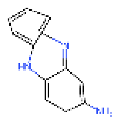 NC1=CC2=Nc3ccccc3NC2=CC1